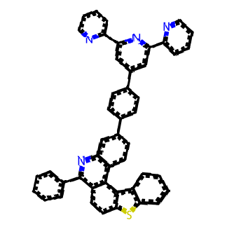 c1ccc(-c2nc3cc(-c4ccc(-c5cc(-c6ccccn6)nc(-c6ccccn6)c5)cc4)ccc3c3c2ccc2sc4ccccc4c23)cc1